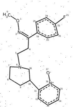 CON=C(CCN1CCCC(c2cccc[n+]2[O-])C1)c1ccc(F)cc1